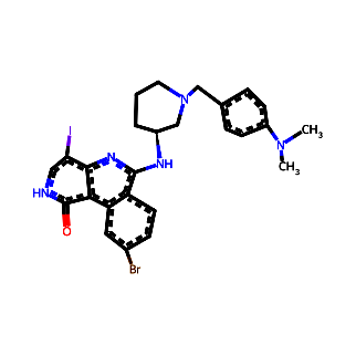 CN(C)c1ccc(CN2CCC[C@H](Nc3nc4c(I)c[nH]c(=O)c4c4cc(Br)ccc34)C2)cc1